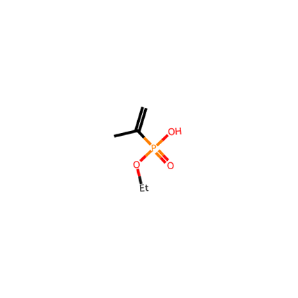 C=C(C)P(=O)(O)OCC